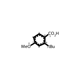 COc1ccc(C(=O)O)c(C(C)(C)C)c1